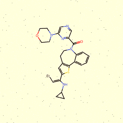 CC/C=C(/NC1CC1)c1cc2c(s1)-c1ccccc1N(C(=O)c1cncc(N3CCOCC3)n1)CC2